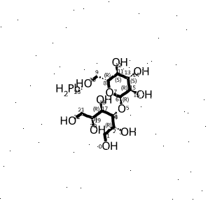 OC[C@@H](O)[C@@H](O[C@H]1O[C@H](CO)[C@@H](O)[C@H](O)[C@H]1O)[C@H](O)[C@@H](O)CO.[PbH2]